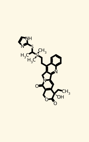 CC[C@@]1(O)C(=O)OCc2c1cc1n(c2=O)Cc2c-1nc1ccccc1c2CC[Si](C)(C)C(C)Sc1ncc[nH]1